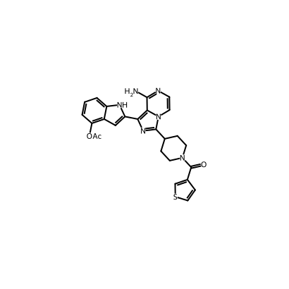 CC(=O)Oc1cccc2[nH]c(-c3nc(C4CCN(C(=O)c5ccsc5)CC4)n4ccnc(N)c34)cc12